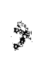 C=CC(O)N1CCC[C@@H]1Cn1nc(-c2ccc(Oc3ccccc3)cc2)c2c(N)n[nH]c(=O)c21